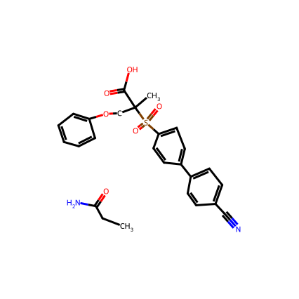 CC(COc1ccccc1)(C(=O)O)S(=O)(=O)c1ccc(-c2ccc(C#N)cc2)cc1.CCC(N)=O